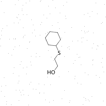 OCCSC1CCCCC1